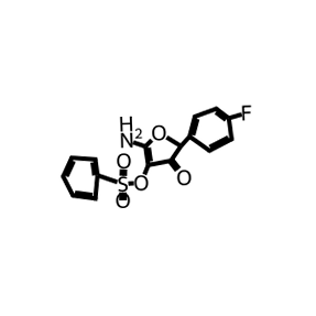 NC1=C(OS(=O)(=O)c2ccccc2)C(=O)C(c2ccc(F)cc2)O1